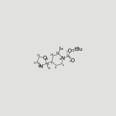 CC(C)(C)OC(=O)N1CCC(C2(C)N=CCO2)CC1I